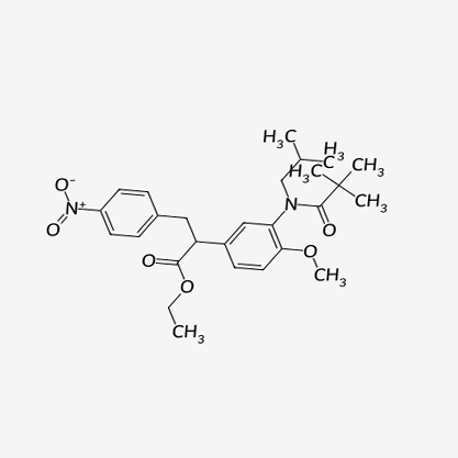 CCOC(=O)C(Cc1ccc([N+](=O)[O-])cc1)c1ccc(OC)c(N(CC(C)C)C(=O)C(C)(C)C)c1